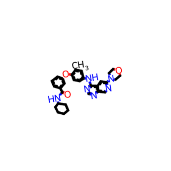 Cc1cc(Nc2ncnc3cnc(N4CCOCC4)cc23)ccc1Oc1cccc(C(=O)NC2CCCCC2)c1